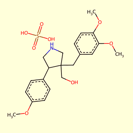 COc1ccc(C2CNCC2(CO)Cc2ccc(OC)c(OC)c2)cc1.O=S(=O)(O)O